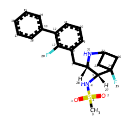 CS(=O)(=O)N[C@@H]1[C@H](Cc2cccc(-c3ccccc3)c2F)NC2CC1(F)C2